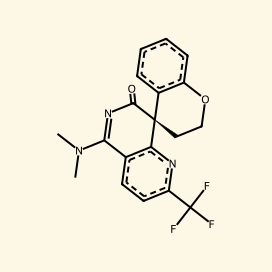 CN(C)C1=NC(=O)[C@@]2(CCOc3ccccc32)c2nc(C(F)(F)F)ccc21